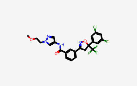 COCCn1cc(NC(=O)c2cccc(C3=NOC(c4cc(Cl)cc(Cl)c4)(C(F)(F)F)C3)c2)cn1